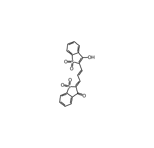 O=C1/C(=C/C=C/C2=C(O)c3ccccc3S2(=O)=O)S(=O)(=O)c2ccccc21